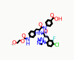 COCCOC(=O)Nc1ccc(CC(NC(=O)/C=C/c2c(-n3cnnn3)ccc(Cl)c2F)C(=O)Nc2ccc(C(=O)O)cc2)cc1